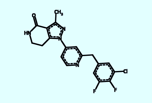 Cc1nn(-c2ccnc(Cc3cc(F)c(F)c(Cl)c3)c2)c2c1C(=O)NCC2